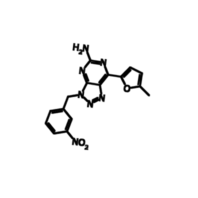 Cc1ccc(-c2nc(N)nc3c2nnn3Cc2cccc([N+](=O)[O-])c2)o1